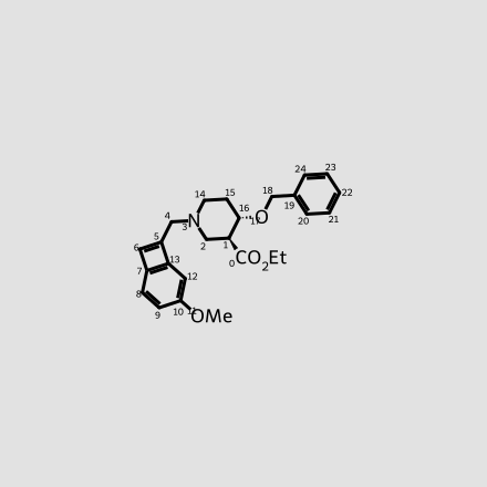 CCOC(=O)[C@H]1CN(CC2=Cc3ccc(OC)cc32)CC[C@@H]1OCc1ccccc1